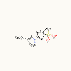 CCOC(=O)C(=CNc1ccc2c(c1)S(O)(O)C=C2)C(=O)OCC